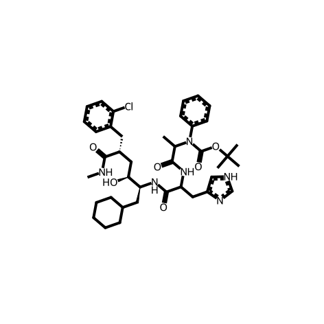 CNC(=O)[C@H](Cc1ccccc1Cl)C[C@H](O)[C@H](CC1CCCCC1)NC(=O)C(Cc1c[nH]cn1)NC(=O)C(C)N(C(=O)OC(C)(C)C)c1ccccc1